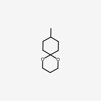 CC1CCC2(CC1)OCCCO2